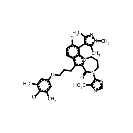 Cc1cc(OCCCc2c3n(c4c(-c5c(C)nn(C)c5C)c(Cl)ccc24)CCCN(c2scnc2C(=O)O)C3=O)cc(C)c1Cl